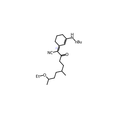 CCCCNC1=C/C(=C(/C#N)C(=O)CCC(C)CCC(C)OCC)CCC1